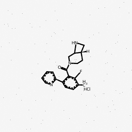 Cc1ccc(-c2ccccn2)c(C(=O)N2CC[C@H]3CNC3C2)c1F.Cl